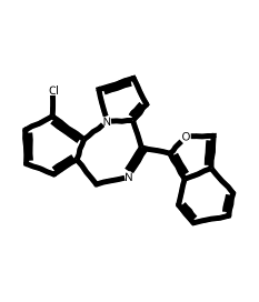 Clc1cccc2c1-n1cccc1C(c1occ3ccccc13)=NC2